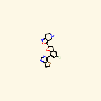 Clc1cc2c(c(-c3ncnc4ccsc34)c1)O[C@@H](c1onc3c1CNCC3)C2